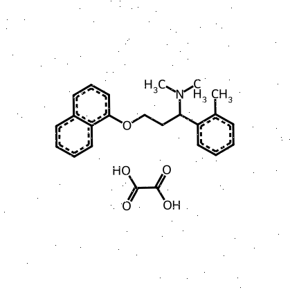 Cc1ccccc1C(CCOc1cccc2ccccc12)N(C)C.O=C(O)C(=O)O